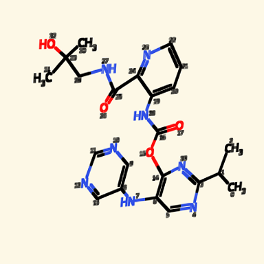 CC(C)c1ncc(Nc2cncnc2)c(OC(=O)Nc2cccnc2C(=O)NCC(C)(C)O)n1